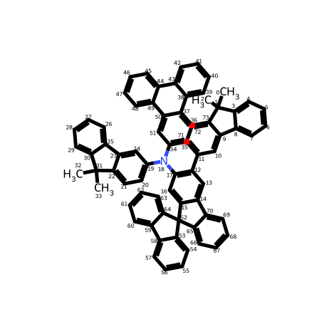 CC1(C)c2ccccc2-c2cc(-c3cc4c(cc3N(c3ccc5c(c3)-c3ccccc3C5(C)C)c3ccc5c6ccccc6c6ccccc6c5c3)C3(c5ccccc5-c5ccccc53)c3ccccc3-4)ccc21